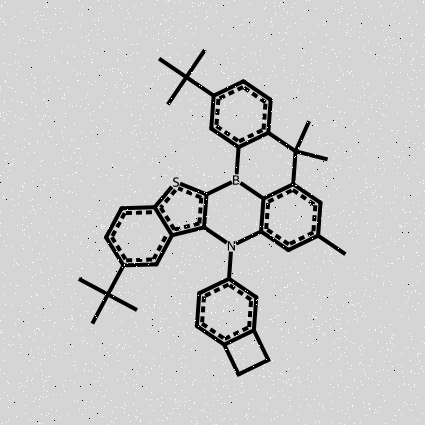 Cc1cc2c3c(c1)C(C)(C)c1ccc(C(C)(C)C)cc1B3c1sc3ccc(C(C)(C)C)cc3c1N2c1ccc2c(c1)CC2